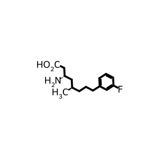 C[C@H](CCCc1cccc(F)c1)C[C@H](N)CC(=O)O